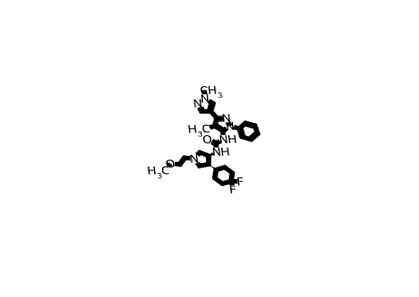 COCCN1C[C@@H](NC(=O)Nc2c(C)c(-c3cnn(C)c3)nn2-c2ccccc2)[C@H](C2CCC(F)(F)CC2)C1